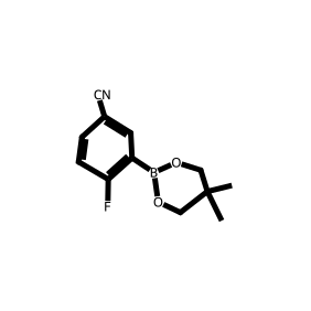 CC1(C)COB(c2cc(C#N)ccc2F)OC1